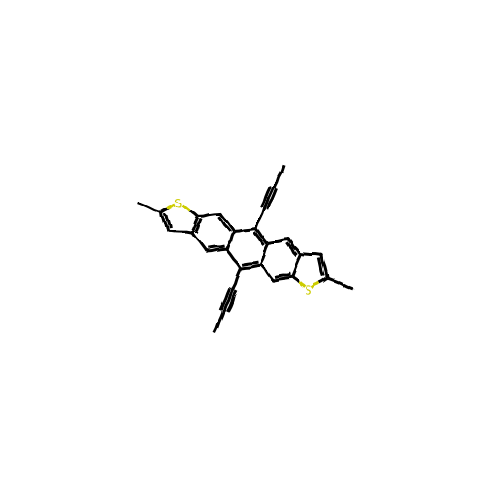 CC#Cc1c2cc3cc(C)sc3cc2c(C#CC)c2cc3cc(C)sc3cc12